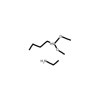 CCCC[SiH](OC)OC.CCN